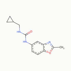 Cc1nc2cc(NC(=O)NCC3CC3)ccc2o1